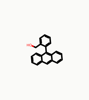 OCc1ccccc1-c1c2ccccc2cc2ccccc12